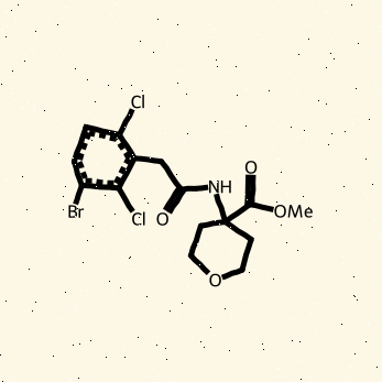 COC(=O)C1(NC(=O)Cc2c(Cl)ccc(Br)c2Cl)CCOCC1